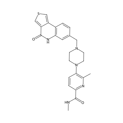 CNC(=O)c1ccc(N2CCN(Cc3ccc4c(c3)[nH]c(=O)c3cscc34)CC2)c(C)n1